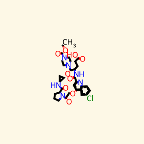 CCOC(=O)N1CCN(C(=O)C(CCC(=O)O)NC(=O)c2cc(OCC(=O)N3CCCC3C(=O)NC3CC3)c3cc(Cl)ccc3n2)CC1